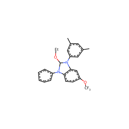 CCOC1N(c2ccccc2)c2ccc(OC(F)(F)F)cc2N1c1cc(C)cc(C)c1